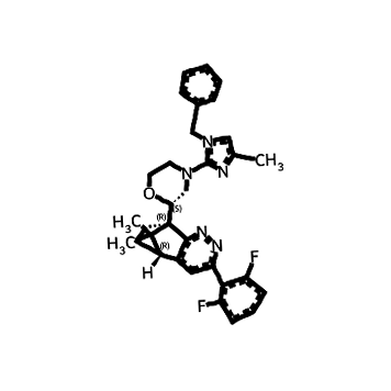 Cc1cn(Cc2ccccc2)c(N2CCO[C@@H]([C@@]34CC[C@@H](c5cc(-c6c(F)cccc6F)nnc53)C4(C)C)C2)n1